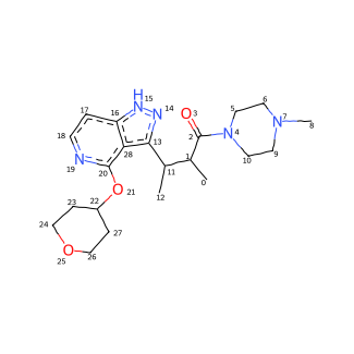 CC(C(=O)N1CCN(C)CC1)C(C)c1n[nH]c2ccnc(OC3CCOCC3)c12